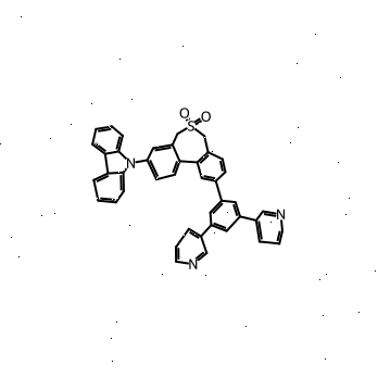 O=S1(=O)Cc2cc(-n3c4ccccc4c4ccccc43)ccc2-c2cc(-c3cc(-c4cccnc4)cc(-c4cccnc4)c3)ccc2C1